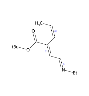 C\C=C/C(=C\C=N\CC)C(=O)OC(C)(C)C